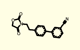 N#Cc1cccc(-c2ccc(CCN3C(=O)COC3=O)cc2)c1